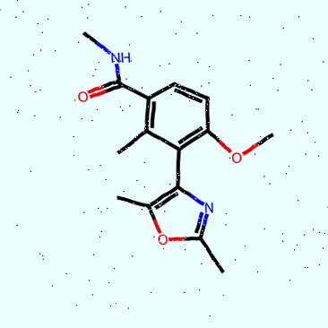 CNC(=O)c1ccc(OC)c(-c2nc(C)oc2C)c1C